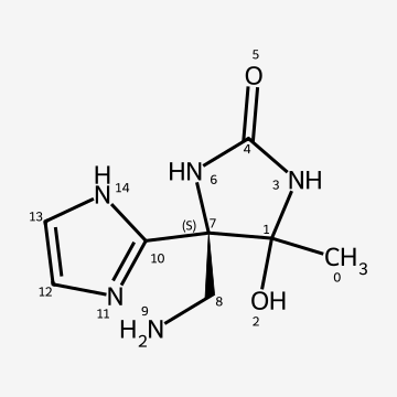 CC1(O)NC(=O)N[C@@]1(CN)c1ncc[nH]1